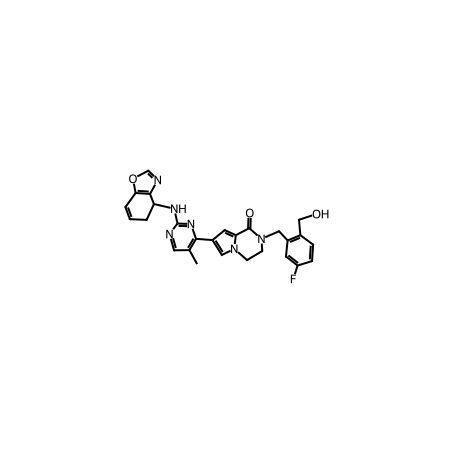 Cc1cnc(NC2CC=Cc3ocnc32)nc1-c1cc2n(c1)CCN(Cc1cc(F)ccc1CO)C2=O